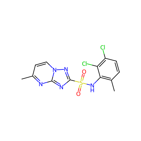 Cc1ccn2nc(S(=O)(=O)Nc3c(C)ccc(Cl)c3Cl)nc2n1